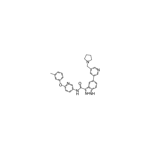 Cc1cccc(Oc2ccc(NC(=O)c3n[nH]c4ccc(-c5cncc(CN6CCCC6)c5)cc34)cn2)c1